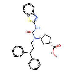 COC(=O)[C@H]1CC[C@H](N(CCC(c2ccccc2)c2ccccc2)C(=O)Nc2nc3ccccc3s2)C1